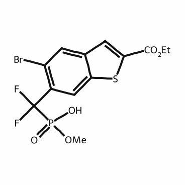 CCOC(=O)c1cc2cc(Br)c(C(F)(F)P(=O)(O)OC)cc2s1